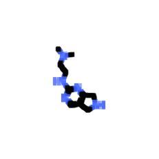 CN(C)CCNc1ncc2c(n1)CNC2